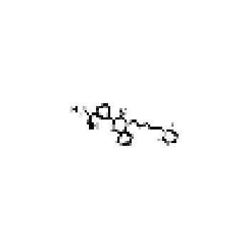 C[C@@H]1CCC[C@H](C)N1CCCCCN1C(=O)C(c2cccc(C(=N)N)c2)Sc2ccccc21